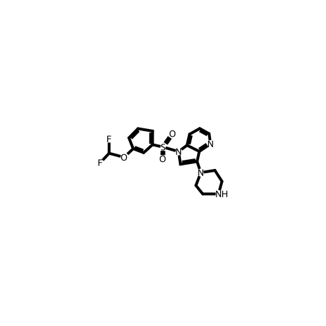 O=S(=O)(c1cccc(OC(F)F)c1)n1cc(N2CCNCC2)c2ncccc21